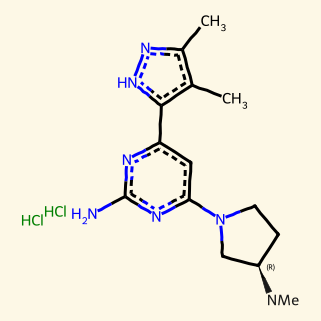 CN[C@@H]1CCN(c2cc(-c3[nH]nc(C)c3C)nc(N)n2)C1.Cl.Cl